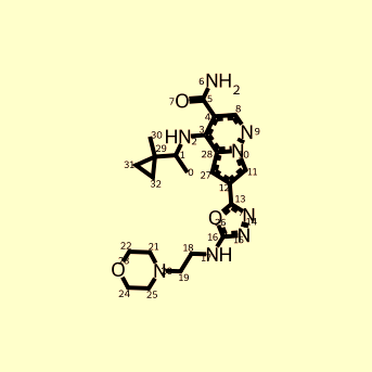 CC(Nc1c(C(N)=O)cnn2cc(-c3nnc(NCCN4CCOCC4)o3)cc12)C1(C)CC1